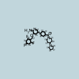 Nc1ncc(-c2ccc(C(=O)N3CCC(N4CCCC4)CC3)cc2)cc1OCc1c(F)cc(F)cc1F